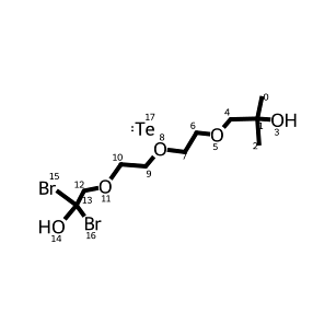 CC(C)(O)COCCOCCOCC(O)(Br)Br.[Te]